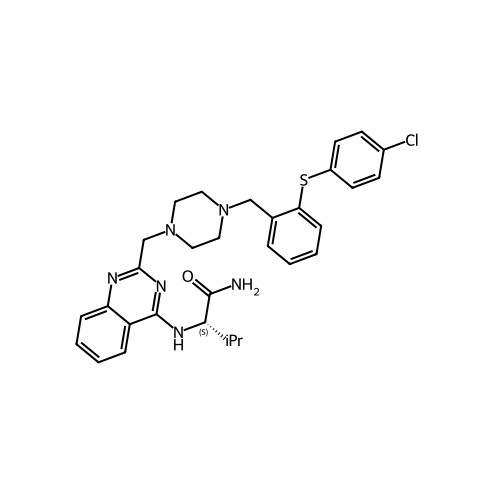 CC(C)[C@H](Nc1nc(CN2CCN(Cc3ccccc3Sc3ccc(Cl)cc3)CC2)nc2ccccc12)C(N)=O